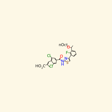 CCCCCCCCOC(C)c1cccc(-c2csc(NC(=O)c3cc(Cl)c(C=C(C)C(=O)O)c(Cl)c3)n2)c1F